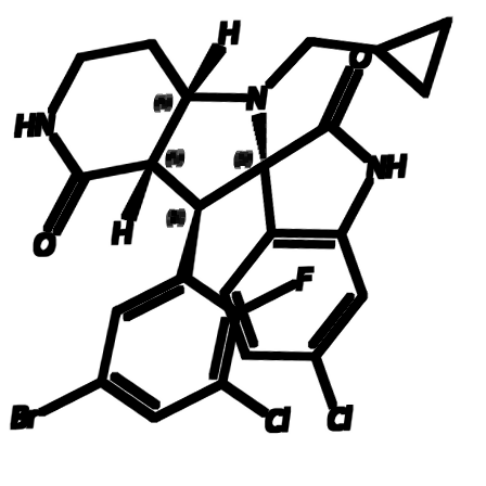 O=C1NCC[C@H]2[C@@H]1[C@H](c1cc(Br)cc(Cl)c1F)[C@]1(C(=O)Nc3cc(Cl)ccc31)N2CC1CC1